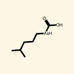 C[C](C)CCC[AsH]C(=O)O